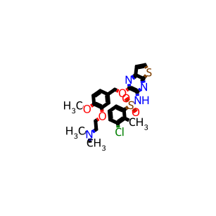 COc1ccc(COc2nc3ccsc3nc2NS(=O)(=O)c2cccc(Cl)c2C)cc1OCCN(C)C